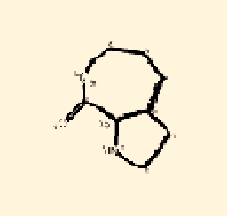 O=C1NCCCC2CCNC12